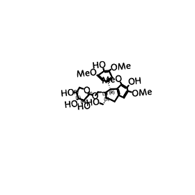 COc1cc([C@@H]2c3c(cc(OC)c(O)c3OC)C[C@H](CO)[C@H]2CO[C@@H]2OC[C@@H](O)[C@H](O)[C@H]2O)cc(OC)c1O